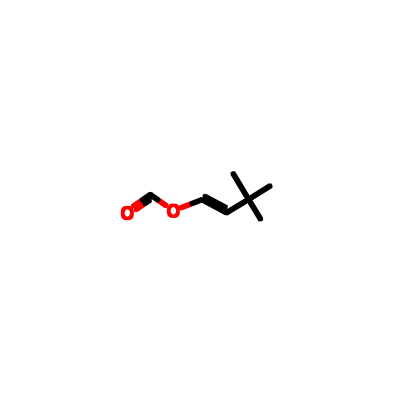 CC(C)(C)C=COC=O